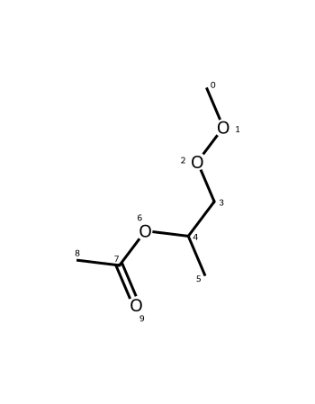 COOCC(C)OC(C)=O